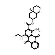 CCNc1cc(C(=O)O[C@@H]2CC[C@@H]3CCCCC3C2)c(N)c2c1C(=O)c1ccccc1C2=O